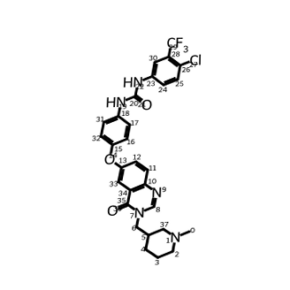 CN1CCCC(Cn2cnc3ccc(Oc4ccc(NC(=O)Nc5ccc(Cl)c(C(F)(F)F)c5)cc4)cc3c2=O)C1